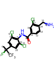 CC(F)(c1cc(Cl)c(NC(=O)c2ccc(CN)c(Cl)c2)c(Cl)c1)C(F)(F)F